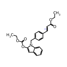 CCOC(=O)/C=C/c1ccc(Cn2c(OC(=O)OCC)cc3ccccc32)cc1